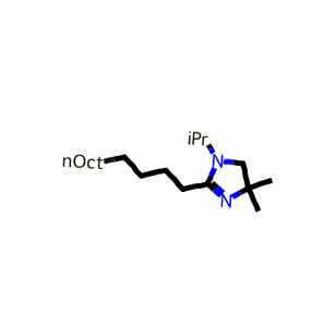 CCCCCCCCCCCCC1=NC(C)(C)CN1C(C)C